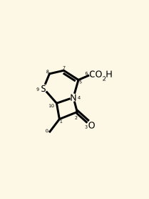 CC1C(=O)N2C(C(=O)O)=CCSC12